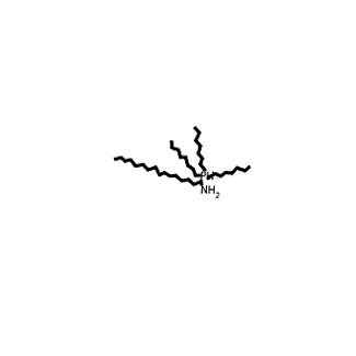 CCCCCCCCCCCCCCCC(N)[PH](CCCCCCCC)(CCCCCCCC)CCCCCCCC